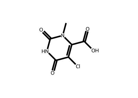 Cn1c(C(=O)O)c(Cl)c(=O)[nH]c1=O